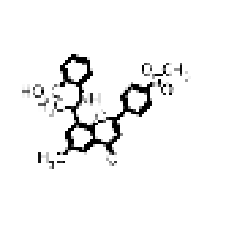 Cc1cc([C@@H](C)Nc2ccccc2C(=O)O)c2oc(-c3ccc(S(C)(=O)=O)cc3)cc(=O)c2c1